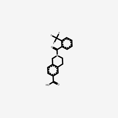 O=C(O)c1ccc2c(c1)CCN(C(=O)c1ccccc1C(F)(F)F)C2